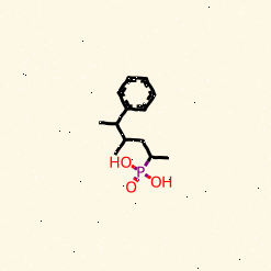 CC(CC(C)P(=O)(O)O)C(C)c1ccccc1